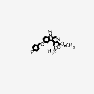 CCOC(=O)c1ncc2[nH]c3ccc(OCc4ccc(F)cc4)cc3c2c1COC